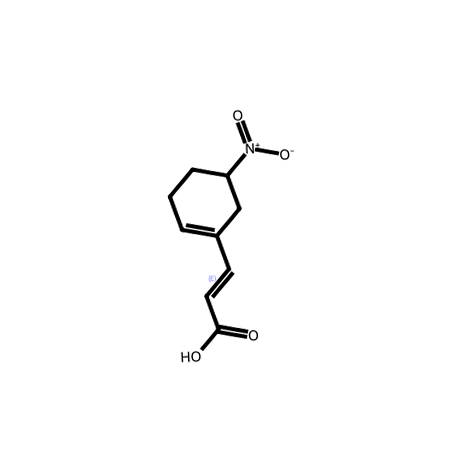 O=C(O)/C=C/C1=CCCC([N+](=O)[O-])C1